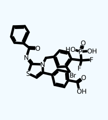 O=C(O)c1ccc(-c2csc(=NC(=O)c3ccccc3)n2Cc2ccc(C(F)(F)P(=O)(O)O)c(Br)c2)cc1